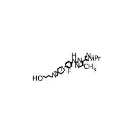 Cc1cnc(Nc2ccc(N3CCC4(CC3)CN(CCCCO)C4)c(F)c2)nc1-c1cnn(C(C)C)c1